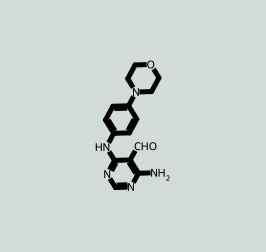 Nc1ncnc(Nc2ccc(N3CCOCC3)cc2)c1C=O